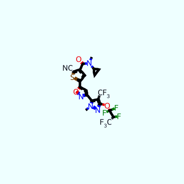 CN(C(=O)c1cc(-c2cc(-c3c(C(F)(F)F)c(OC(F)(F)C(F)C(F)(F)F)nn3C)no2)sc1C#N)C1CC1